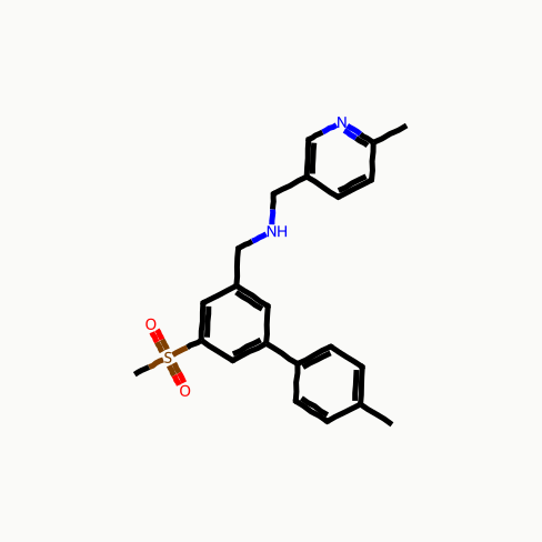 Cc1ccc(-c2cc(CNCc3ccc(C)nc3)cc(S(C)(=O)=O)c2)cc1